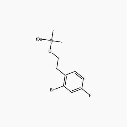 CC(C)(C)[Si](C)(C)OCCc1ccc(F)cc1Br